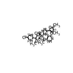 COc1ncnc(OC)c1-n1c(NS(=O)(=O)C(C)C(OC)c2ncc(Cl)cn2)nnc1-c1ccc(C)o1